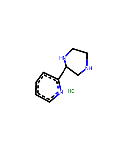 Cl.c1ccc(C2CNCCN2)nc1